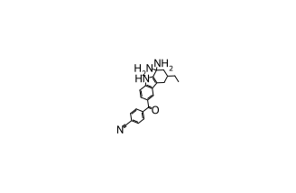 CCC1Cc2c([nH]c3ccc(C(=O)c4ccc(C#N)cc4)cc23)C(N)(N)C1